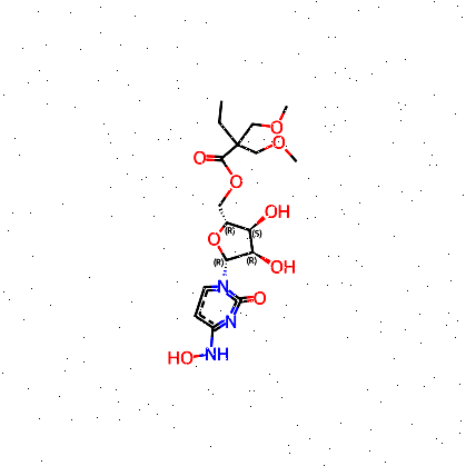 CCC(COC)(COC)C(=O)OC[C@H]1O[C@@H](n2ccc(NO)nc2=O)[C@H](O)[C@@H]1O